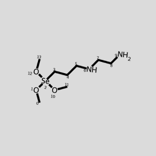 CO[Se](CCCNCCN)(OC)OC